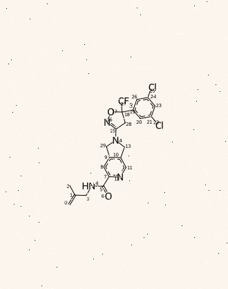 C=C(C)CNC(=O)c1cc2c(cn1)CN(C1=NOC(c3cc(Cl)cc(Cl)c3)(C(F)(F)F)C1)C2